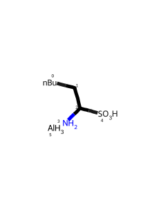 CCCCCC(N)S(=O)(=O)O.[AlH3]